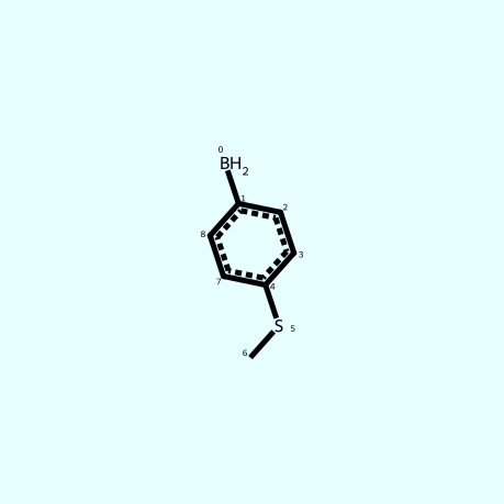 Bc1ccc(SC)cc1